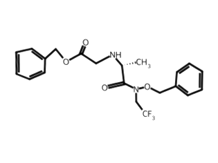 C[C@@H](NCC(=O)OCc1ccccc1)C(=O)N(CC(F)(F)F)OCc1ccccc1